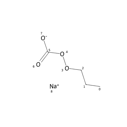 CCCOOC(=O)[O-].[Na+]